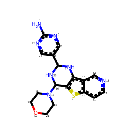 Nc1ncc(C2Nc3c(sc4ccncc34)C(N3CCOCC3)N2)cn1